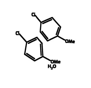 COc1ccc(Cl)cc1.COc1ccc(Cl)cc1.O